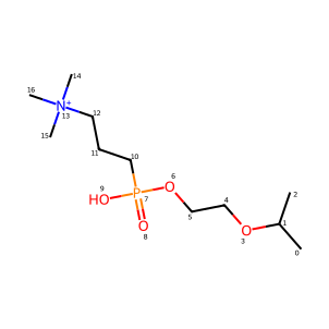 CC(C)OCCOP(=O)(O)CCC[N+](C)(C)C